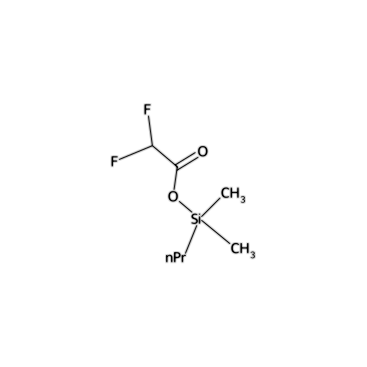 CCC[Si](C)(C)OC(=O)C(F)F